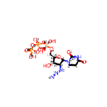 [N-]=[N+]=NC1[C@H](n2ccc(=O)[nH]c2=O)O[C@H](COP(=O)(O)OP(=O)(O)OP(=O)(O)O)[C@H]1O